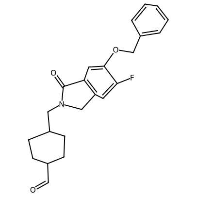 O=CC1CCC(CN2Cc3cc(F)c(OCc4ccccc4)cc3C2=O)CC1